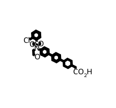 O=C(O)CC1CCC(c2ccc(-c3ccc4c(c3)OCCN4S(=O)(=O)c3ccccc3Cl)cc2)CC1